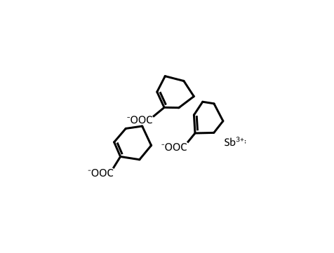 O=C([O-])C1=CCCCC1.O=C([O-])C1=CCCCC1.O=C([O-])C1=CCCCC1.[Sb+3]